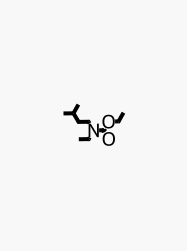 CCOC(=O)N(CC)CCC(C)C